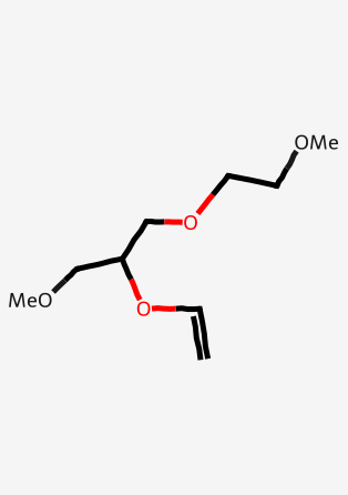 C=COC(COC)COCCOC